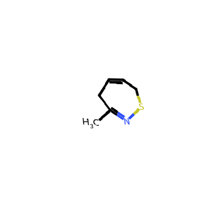 CC1=NSCC=CC1